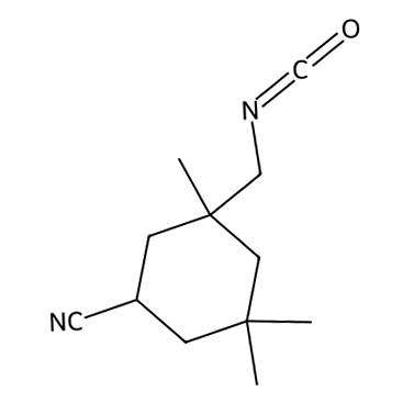 CC1(C)CC(C#N)CC(C)(CN=C=O)C1